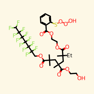 CCC(C)(CC(C)(CC(C)(C)C(=O)OCC(F)(F)C(F)(F)C(F)(F)C(F)(F)C(F)(F)C(F)F)C(=O)OCCO)C(=O)OCCOC(=O)c1ccccc1SOOO